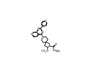 CC(C)(C)OC(=O)N1CC2(CCN(c3nc(-c4ccncc4)nc4cnccc34)CC2)CC1C(=O)O